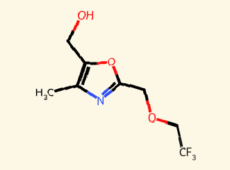 Cc1nc(COCC(F)(F)F)oc1CO